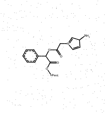 CCCCCOC(=O)C(OC(=O)C[N+]1=CC(N)C=C1)c1ccccc1